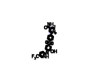 C=N/C(=C\C(=C/C)C(N)=O)c1ccc(S(=O)(=O)N2CC[C@@H](Nc3ccc(C(F)(F)F)cn3)[C@@H](O)C2)cc1